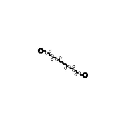 O=C(CCCCC(=O)OCC(=O)OCC(=O)OCc1ccccc1)OCC(=O)OCC(=O)OCc1ccccc1